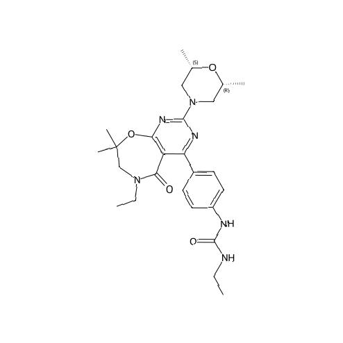 CCNC(=O)Nc1ccc(-c2nc(N3C[C@@H](C)O[C@@H](C)C3)nc3c2C(=O)N(CC)CC(C)(C)O3)cc1